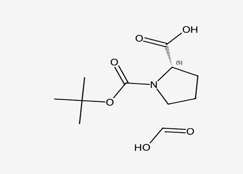 CC(C)(C)OC(=O)N1CCC[C@H]1C(=O)O.O=CO